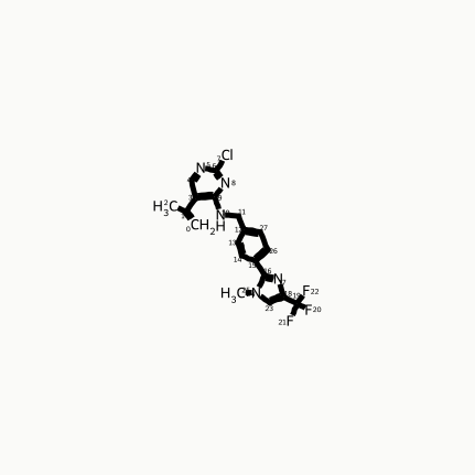 C=C(C)c1cnc(Cl)nc1NCc1ccc(-c2nc(C(F)(F)F)cn2C)cc1